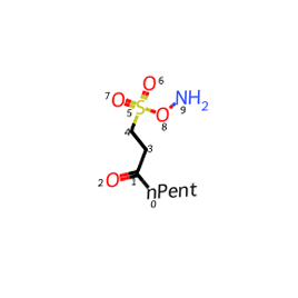 CCCCCC(=O)CCS(=O)(=O)ON